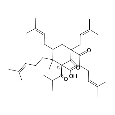 CC(C)=CCCC1(C)C(CC=C(C)C)CC2(CC=C(C)C)C(=O)C(CC=C(C)C)=C(O)[C@@]1(C(=O)C(C)C)C2=O